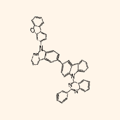 c1ccc(-c2nc(-n3c4ccccc4c4cc(-c5ccc6c(c5)c5ccccc5n6-c5ccc6c(c5)oc5ccccc56)ccc43)c3ccccc3n2)cc1